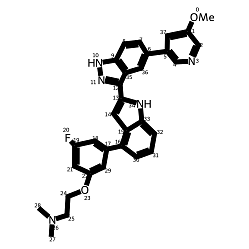 COc1cncc(-c2ccc3[nH]nc(-c4cc5c(-c6cc(F)cc(OCCN(C)C)c6)cccc5[nH]4)c3c2)c1